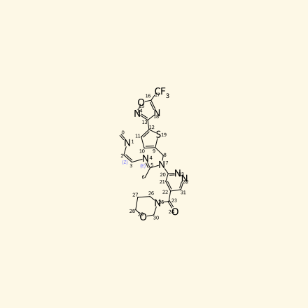 C=N/C=C\N=C(/C)N(Cc1ccc(-c2noc(C(F)(F)F)n2)s1)c1cc(C(=O)N2CCCOC2)cnn1